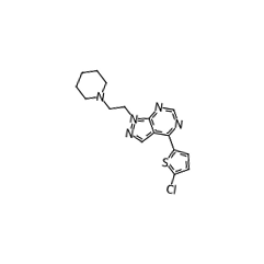 Clc1ccc(-c2ncnc3c2cnn3CCN2CCCCC2)s1